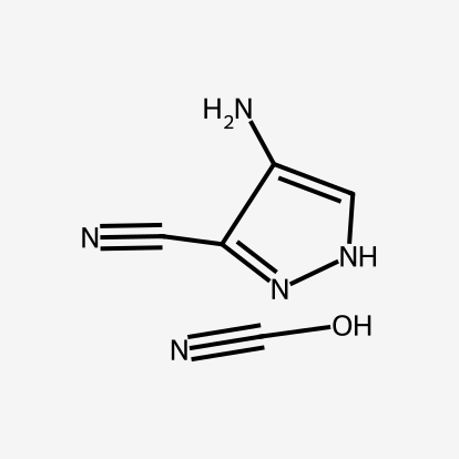 N#CO.N#Cc1n[nH]cc1N